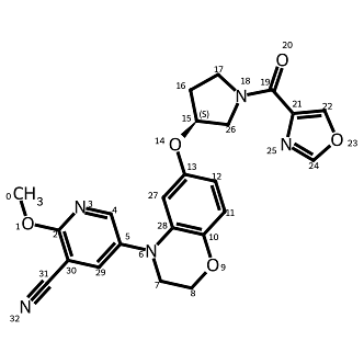 COc1ncc(N2CCOc3ccc(O[C@H]4CCN(C(=O)c5cocn5)C4)cc32)cc1C#N